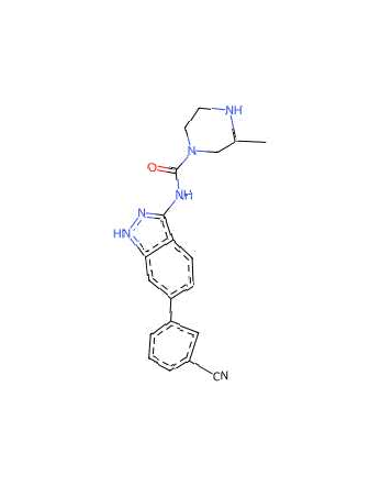 CC1CN(C(=O)Nc2n[nH]c3cc(-c4cccc(C#N)c4)ccc23)CCN1